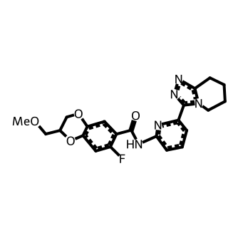 COCC1COc2cc(C(=O)Nc3cccc(-c4nnc5n4CCCC5)n3)c(F)cc2O1